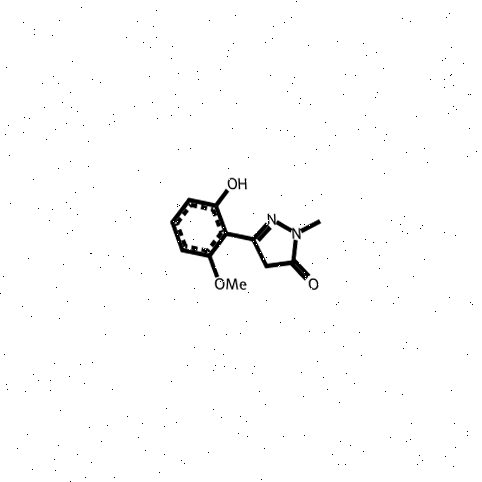 COc1cccc(O)c1C1=NN(C)C(=O)C1